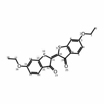 CCOc1ccc2c(c1)SC(=C1Sc3cc(OCC)ccc3C1=O)C2=O